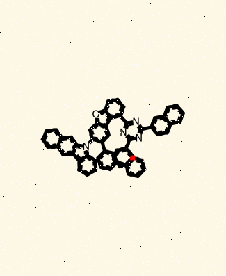 c1ccc(-c2cccc(-c3cc4c(cc3-n3c5ccccc5c5cc6ccccc6cc53)oc3cccc(-c5nc(-c6ccccc6)nc(-c6ccc7ccccc7c6)n5)c34)c2)cc1